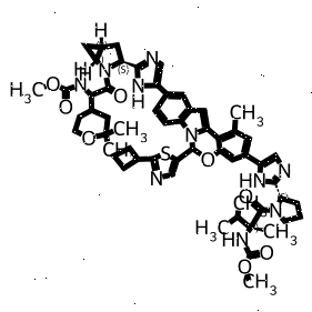 COC(=O)NC(C(=O)N1[C@@H]2C[C@@H]2C[C@H]1c1ncc(-c2ccc3c(c2)cc2n3C(c3cnc(C4CCC4)s3)Oc3cc(-c4cnc([C@@H]5CCCN5C(=O)[C@](C)(NC(=O)OC)C(C)C)[nH]4)cc(C)c3-2)[nH]1)C1CCOC(C)(C)C1